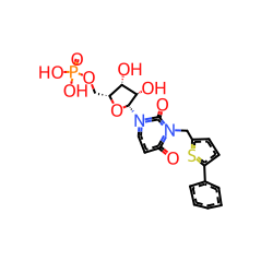 O=c1ccn([C@@H]2O[C@H](COP(=O)(O)O)[C@H](O)[C@@H]2O)c(=O)n1Cc1ccc(-c2ccccc2)s1